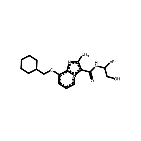 CCCC(CO)NC(=O)c1c(C)nc2c(OCC3CCCCC3)cccn12